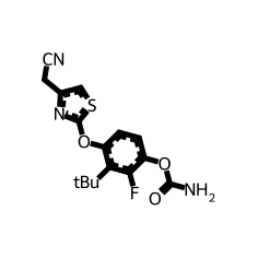 CC(C)(C)c1c(Oc2nc(CC#N)cs2)ccc(OC(N)=O)c1F